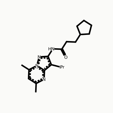 Cc1cc(C)n2nc(NC(=O)CCC3CCCC3)c(C(C)C)c2n1